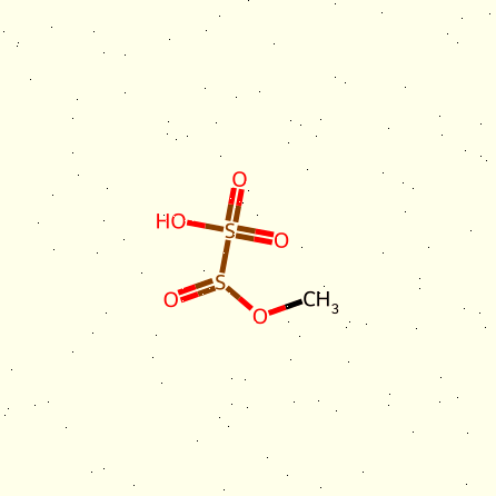 COS(=O)S(=O)(=O)O